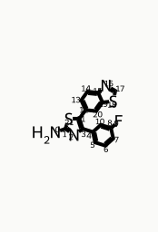 Nc1nc(-c2cccc(F)c2)c(-c2ccc3ncsc3c2)s1